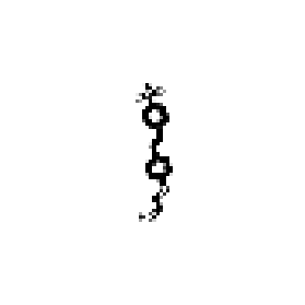 CS(=O)(=O)c1ccc(C=Cc2ccc(OCCO)cc2)cc1